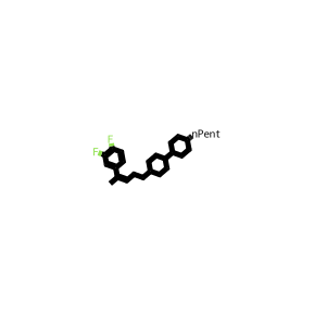 CCCCCC1CCC(C2CCC(CCC=C(C)c3ccc(F)c(F)c3)CC2)CC1